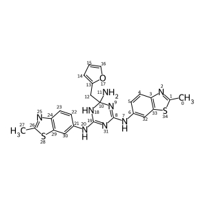 Cc1nc2ccc(NC3=NC(N)(Cc4ccco4)NC(Nc4ccc5nc(C)sc5c4)=N3)cc2s1